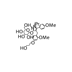 COc1ccc(-c2c(Cc3ccc(OCCCO)cc3OC)c(O[C@@H]3O[C@H](CO)[C@@H](O)[C@H](O)[C@H]3O)nn2C(C)C)cc1